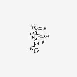 CC1=C(C(=O)O)N2C(=O)C(NC(=O)CNc3c[nH]c4ccccc34)[C@@H]2SC1.O=C(O)C(F)(F)F